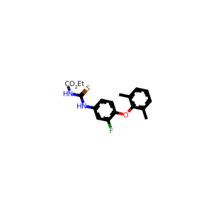 CCOC(=O)NC(=S)Nc1ccc(Oc2c(C)cccc2C)c(F)c1